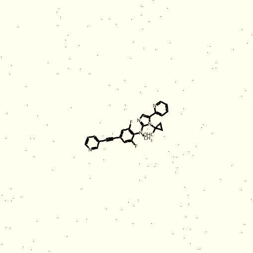 CN(c1c(F)cc(C#Cc2cccnc2)cc1F)c1ncc(-c2ccccn2)n1C1(C=O)CC1